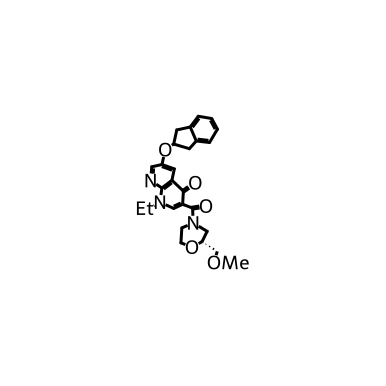 CCn1cc(C(=O)N2CCO[C@@H](COC)C2)c(=O)c2cc(OC3Cc4ccccc4C3)cnc21